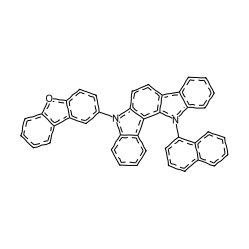 c1ccc2c(-n3c4ccccc4c4ccc5c(c6ccccc6n5-c5ccc6oc7ccccc7c6c5)c43)cccc2c1